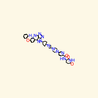 Nc1ncnc2c1c(-c1ccc(Oc3ccccc3)cc1)nn2C1CCC(N2CC(N3CCN(c4ccc(C(=O)NC5CCC(=O)NC5=O)nc4)CC3)C2)CC1